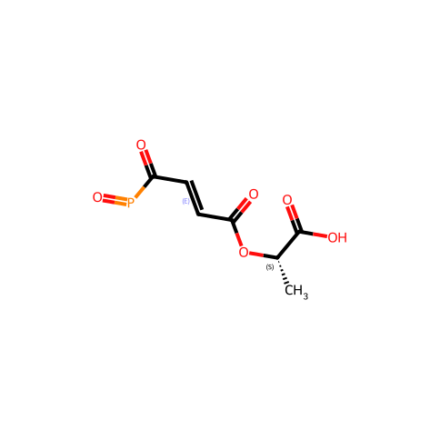 C[C@H](OC(=O)/C=C/C(=O)P=O)C(=O)O